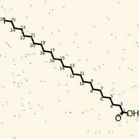 O=C(O)CCCCCCCCCCCCCCCCCCCCCCCI